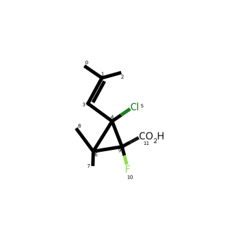 CC(C)=CC1(Cl)C(C)(C)C1(F)C(=O)O